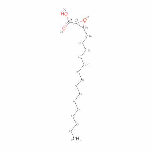 CCCCCCCCCCCCCCCC1OC1C(=O)O